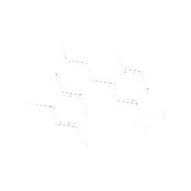 Cc1ccc(S(=O)(=O)Cl)cc1C1CN(C)Cc2c(Cl)cc(Cl)cc21